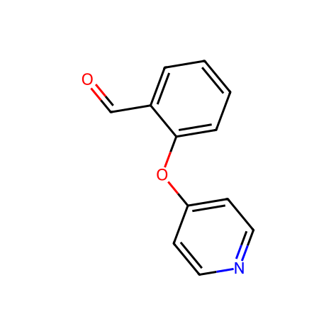 O=Cc1ccccc1Oc1ccncc1